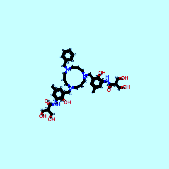 Cc1cc(CN2CCCN(Cc3ccccc3)CCCN(Cc3cc(C)cc(NC(=O)C(CO)CO)c3O)CCC2)c(O)c(NC(=O)C(CO)CO)c1